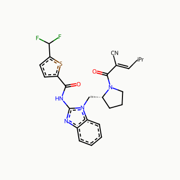 CC(C)/C=C(\C#N)C(=O)N1CCC[C@@H]1Cn1c(NC(=O)c2ccc(C(F)F)s2)nc2ccccc21